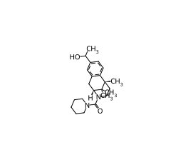 CC(O)c1ccc2c(c1)C[C@H]1N(C(=O)N3CCCCC3)CC[C@]2(C)C1(C)C